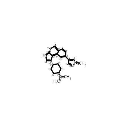 Cn1cc(-c2ccc3cnc4[nH]cc([C@H]5CC[C@@H](N(C)C)CC5)c4c3c2)cn1